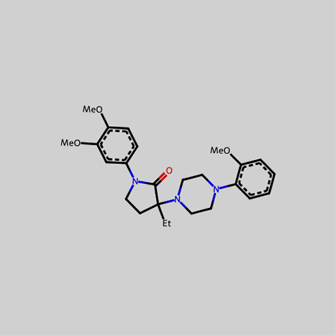 CCC1(N2CCN(c3ccccc3OC)CC2)CCN(c2ccc(OC)c(OC)c2)C1=O